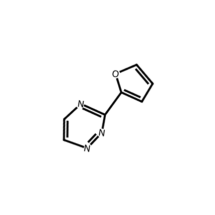 c1coc(-c2nccnn2)c1